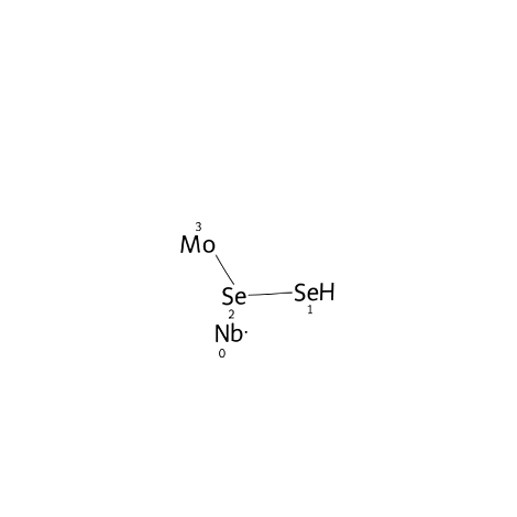 [Nb].[SeH][Se][Mo]